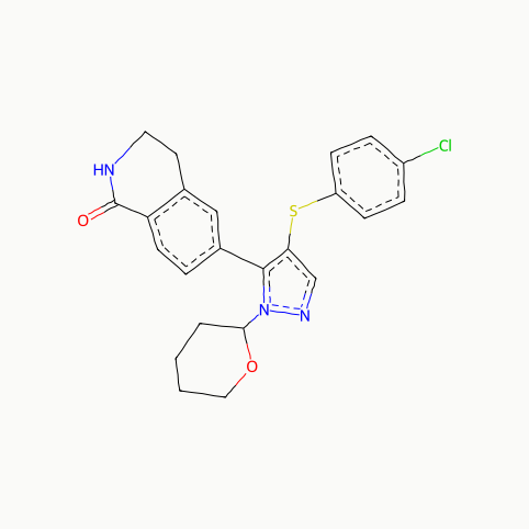 O=C1NCCc2cc(-c3c(Sc4ccc(Cl)cc4)cnn3C3CCCCO3)ccc21